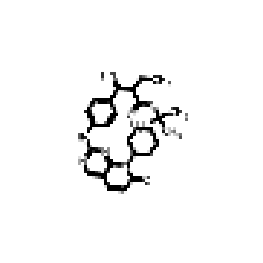 CCC(C(=N)c1ccc(Nc2ncc3ccc(=O)n(C4CCCCC4)c3n2)cc1)C(=O)OC(C)(C)C